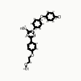 CCCCc1nc(-c2ccc(OCCOCC)cc2)nn1-c1ccc(Oc2ccc(Cl)cc2)cc1